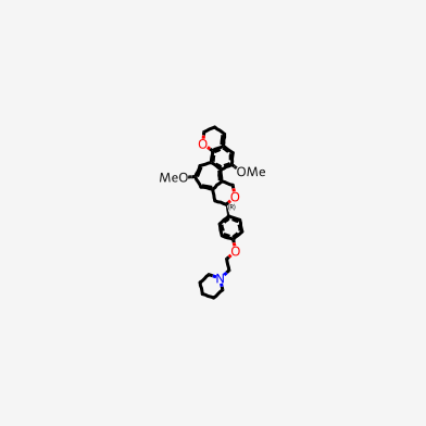 COC1=Cc2c3c(cc(OC)c2=C2CO[C@@H](c4ccc(OCCN5CCCCC5)cc4)CC2=C1)=CCCO3